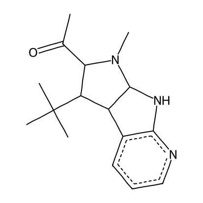 CC(=O)C1C(C(C)(C)C)C2c3cccnc3NC2N1C